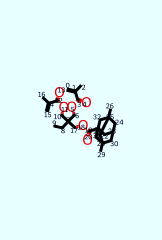 C=C(C)C(=O)OCC(CC)(COC(=O)C(=C)C)COC(=O)C12CC3CC(C)(CC(C)(C3)C1)C2